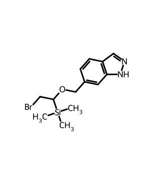 C[Si](C)(C)C(CBr)OCc1ccc2cn[nH]c2c1